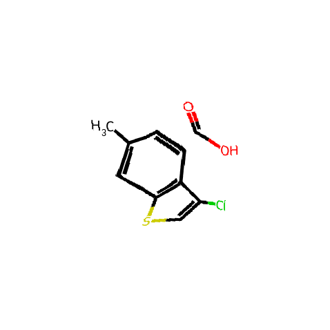 Cc1ccc2c(Cl)csc2c1.O=CO